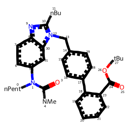 CCCCCN(C(=O)NC)c1ccc2nc(CCCC)n(Cc3ccc(-c4ccccc4C(=O)OC(C)(C)C)cc3)c2c1